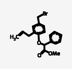 C=CCc1cc(CBr)ccc1OC(C(=O)OC)c1ccccc1